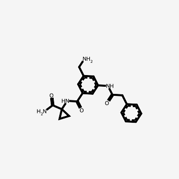 NCc1cc(NC(=O)Cc2ccccc2)cc(C(=O)NC2(C(N)=O)CC2)c1